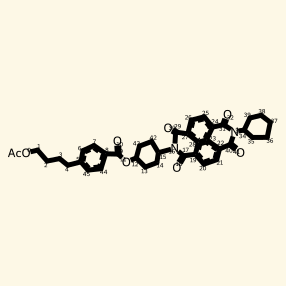 CC(=O)OCCCCc1ccc(C(=O)OC2CCC(N3C(=O)c4ccc5c6c(ccc(c46)C3=O)C(=O)N(C3CCCCC3)C5=O)CC2)cc1